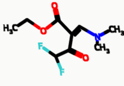 CCOC(=O)C(=CN(C)C)C(=O)C(F)F